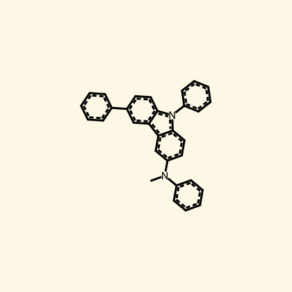 CN(c1ccccc1)c1ccc2c(c1)c1cc(-c3ccccc3)ccc1n2-c1ccccc1